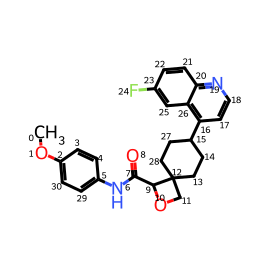 COc1ccc(NC(=O)C2OCC23CCC(c2ccnc4ccc(F)cc24)CC3)cc1